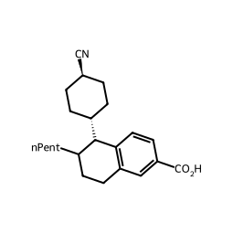 CCCCCC1CCc2cc(C(=O)O)ccc2C1[C@H]1CC[C@H](C#N)CC1